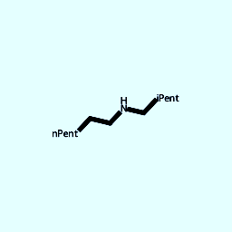 CCCCCCCNCC(C)CCC